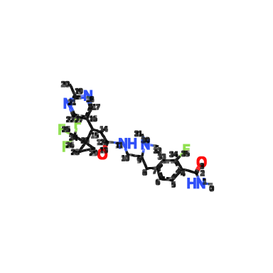 CNC(=O)c1ccc(CC(CNC(=O)CC(c2cnc(C)nc2)C2(C(F)(F)F)CC2)N(C)C)cc1F